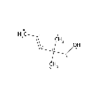 C/C=C/C(C)(C)CO